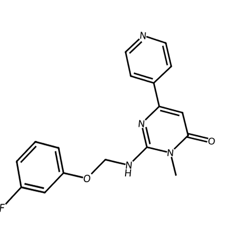 Cn1c(NCOc2cccc(F)c2)nc(-c2ccncc2)cc1=O